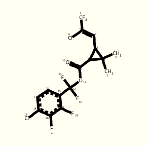 CC1(C)C(C=C(Cl)C(F)(F)F)C1C(=O)OC(F)(F)c1ccc(Cl)c(F)c1F